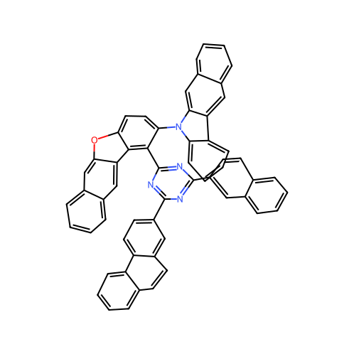 c1ccc2cc(-c3nc(-c4ccc5c(ccc6ccccc65)c4)nc(-c4c(-n5c6ccccc6c6cc7ccccc7cc65)ccc5oc6cc7ccccc7cc6c45)n3)ccc2c1